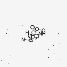 Cn1c(C#N)ccc1-c1ccc2c(c1)C(C)(c1ccccc1)OCC(=O)N2